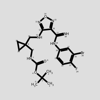 CC(C)(C)OC(=O)NCC1(CNc2nonc2C(=N)Nc2ccc(F)c(Br)c2)CC1